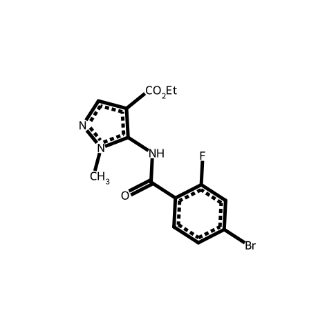 CCOC(=O)c1cnn(C)c1NC(=O)c1ccc(Br)cc1F